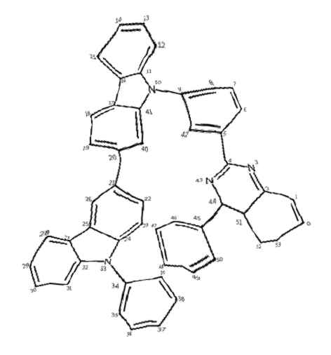 C1=CC2=NC(c3cccc(-n4c5ccccc5c5ccc(-c6ccc7c(c6)c6ccccc6n7-c6ccccc6)cc54)c3)=NC(c3ccccc3)C2CC1